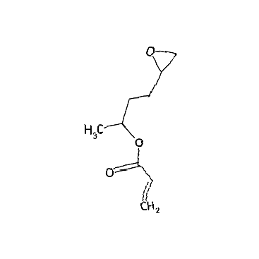 C=CC(=O)OC(C)CCC1CO1